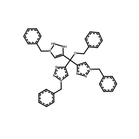 C1=C(C(OCc2ccccc2)(c2cn(Cc3ccccc3)nn2)c2cn(Cc3ccccc3)nn2)NNN1Cc1ccccc1